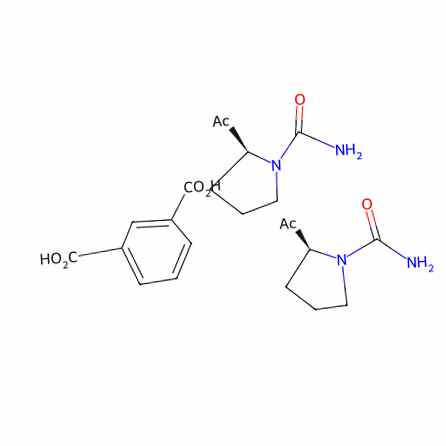 CC(=O)[C@@H]1CCCN1C(N)=O.CC(=O)[C@@H]1CCCN1C(N)=O.O=C(O)c1cccc(C(=O)O)c1